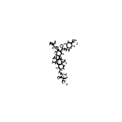 C=C(C(=O)NCc1ccc(C(F)(F)F)c(Nc2nc3cc(C(=O)N[C@H]4CC[C@H](C(F)(F)F)CC4)c(OCC(F)F)nc3n2C)c1)C(F)(F)F